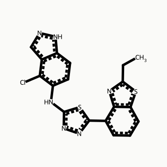 CCc1nc2c(-c3nnc(Nc4ccc5[nH]ncc5c4Cl)s3)cccc2s1